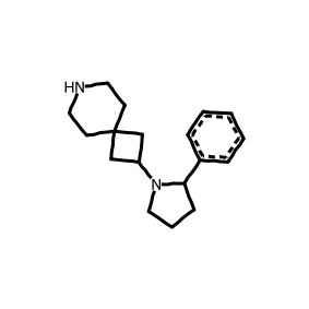 c1ccc(C2CCCN2C2CC3(CCNCC3)C2)cc1